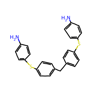 Nc1ccc(Sc2ccc(Cc3ccc(Sc4ccc(N)cc4)cc3)cc2)cc1